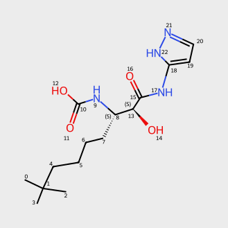 CC(C)(C)CCCC[C@H](NC(=O)O)[C@H](O)C(=O)Nc1ccn[nH]1